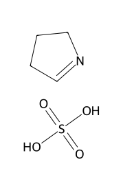 C1=NCCC1.O=S(=O)(O)O